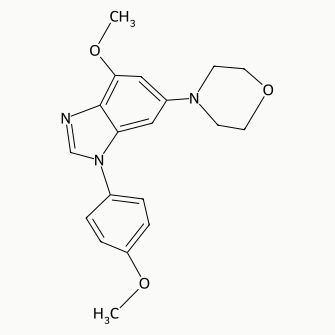 COc1ccc(-n2cnc3c(OC)cc(N4CCOCC4)cc32)cc1